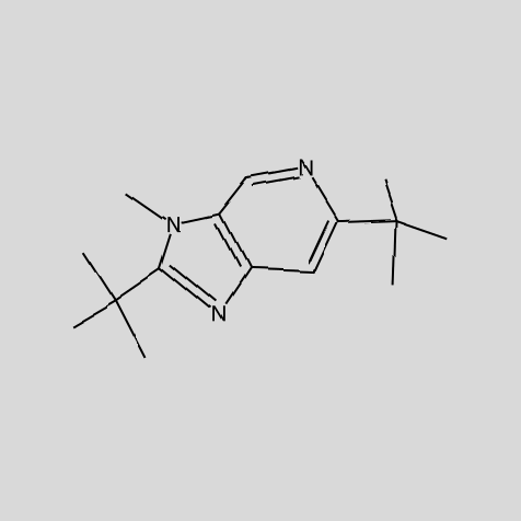 Cn1c(C(C)(C)C)nc2cc(C(C)(C)C)ncc21